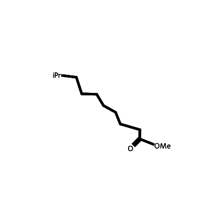 COC(=O)CCCCCCCC(C)C